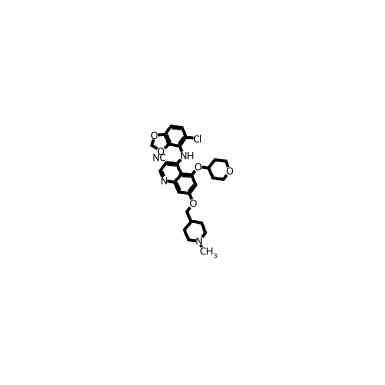 CN1CCC(COc2cc(OC3CCOCC3)c3c(Nc4c(Cl)ccc5c4OCO5)c(C#N)cnc3c2)CC1